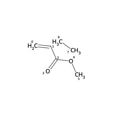 C=CC(=O)OC.CC